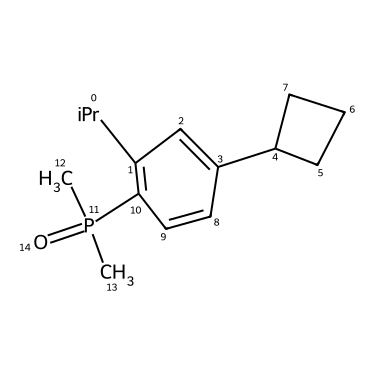 CC(C)c1cc(C2CCC2)ccc1P(C)(C)=O